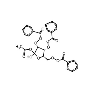 CC(=O)O[C@@]1(O)O[C@H](COOC(=O)c2ccccc2)[C@@H](OOC(=O)c2ccccc2)[C@H]1OOC(=O)c1ccccc1